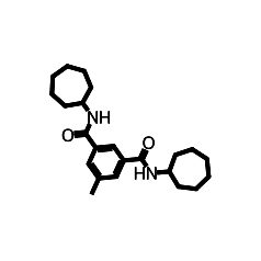 Cc1cc(C(=O)NC2CCCCCC2)cc(C(=O)NC2CCCCCC2)c1